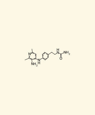 Cc1cc(Nc2ccc(CCNC(N)=O)cc2)c(N)c(C)n1